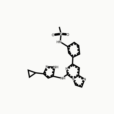 CS(=O)(=O)Nc1cccc(-c2cc3nccn3c(Nc3cc(C4CC4)n[nH]3)n2)c1